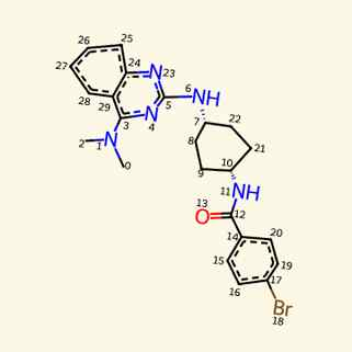 CN(C)c1nc(N[C@H]2CC[C@@H](NC(=O)c3ccc(Br)cc3)CC2)nc2ccccc12